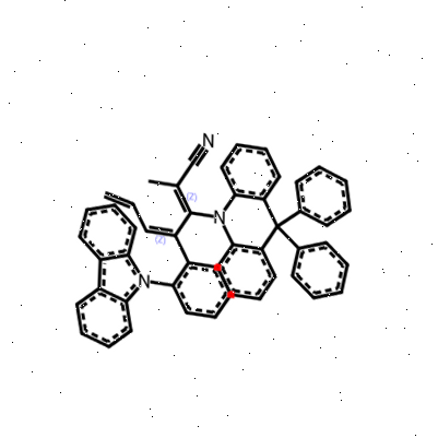 C=C/C=C(\C(=C(/C)C#N)N1c2ccccc2C(c2ccccc2)(c2ccccc2)c2ccccc21)c1ccccc1-n1c2ccccc2c2ccccc21